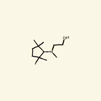 CN(CCO)C1C(C)(C)CCC1(C)C